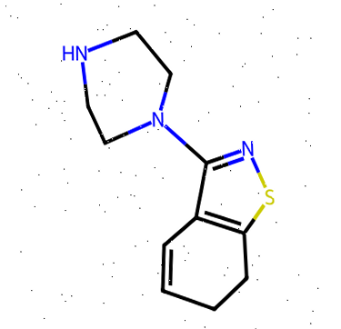 C1=Cc2c(N3CCNCC3)nsc2CC1